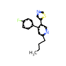 CCCCc1cc(-c2ccc(F)cc2)c(-c2cncs2)[c]n1